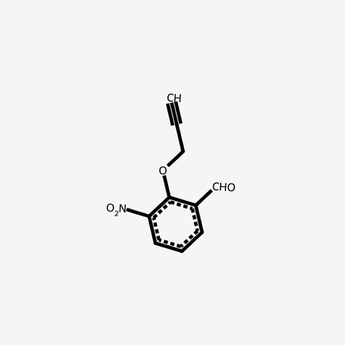 C#CCOc1c(C=O)cccc1[N+](=O)[O-]